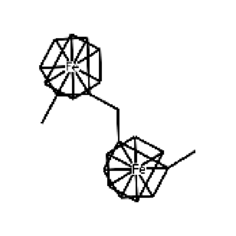 C[C]12[CH]3[CH]4[CH]5[C]1(C[C]16[CH]7[CH]8[CH]9[C]1(C)[Fe]89761%10%11%12[CH]6[CH]1[CH]%10[CH]%11[CH]6%12)[Fe]43521678[CH]2[CH]1[CH]6[CH]7[CH]28